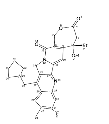 CC[C@]1(O)CC(=O)OCc2c1cc1n(c2=O)Cc2c-1nc1cc(F)c(C)cc1c2CN1CCCC1